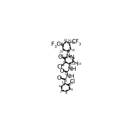 O=C(NC(=O)c1ccccc1Cl)Nc1c(I)nn(-c2cc(C(F)(F)F)cc(C(F)(F)F)c2)c(=O)c1Cl